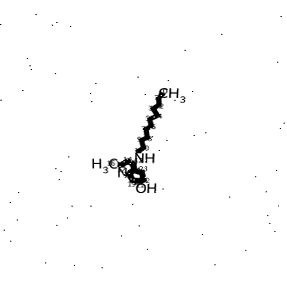 CCCCCCCCCCCCNc1cc(C)nc2cc(O)ccc12